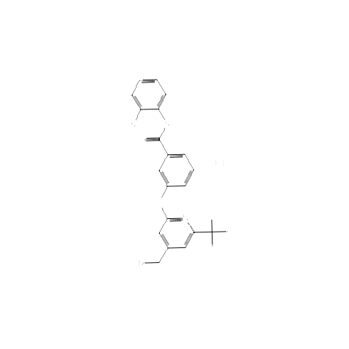 Cl.NCc1cc(Oc2cccc(C(=O)Nc3ccccc3N)c2)nc(C(F)(F)F)c1